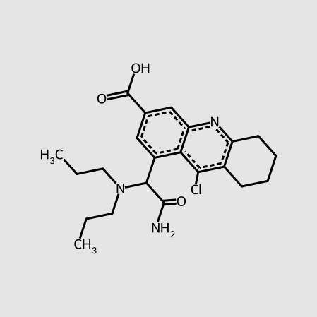 CCCN(CCC)C(C(N)=O)c1cc(C(=O)O)cc2nc3c(c(Cl)c12)CCCC3